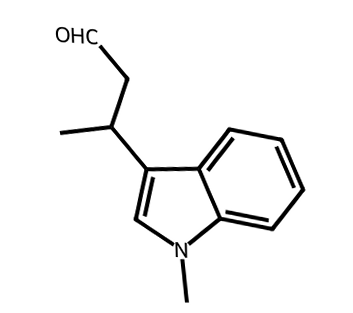 CC(CC=O)c1cn(C)c2ccccc12